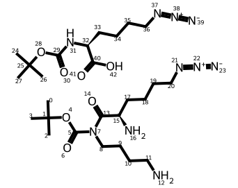 CC(C)(C)OC(=O)N(CCCCN)C(=O)[C@H](N)CCCCN=[N+]=[N-].CC(C)(C)OC(=O)N[C@@H](CCCCN=[N+]=[N-])C(=O)O